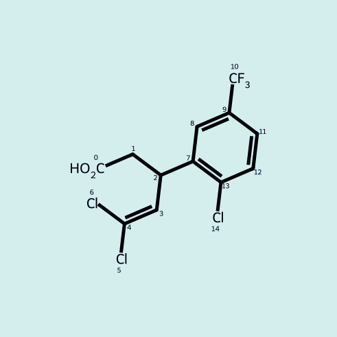 O=C(O)CC(C=C(Cl)Cl)c1cc(C(F)(F)F)ccc1Cl